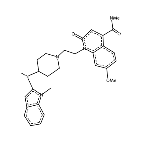 CNC(=O)c1cc(=O)n(CCN2CCC(N(C)c3cc4ccccc4n3C)CC2)c2cc(OC)ccc12